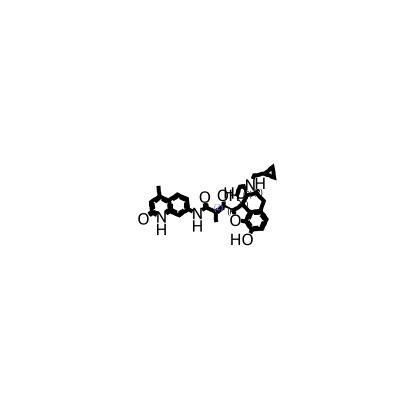 C/C(C(=O)Nc1ccc2c(C)cc(=O)[nH]c2c1)=C(/O)[C@@H]1Oc2c(O)ccc3c2[C@@]12CCN(CC1CC1)[C@H](C3)[C@@]2(C)O